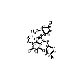 CCn1c(=O)[nH]c(=O)c2c1nc(-c1ccc(Cl)nc1C)n2Cc1ccc(Br)cc1